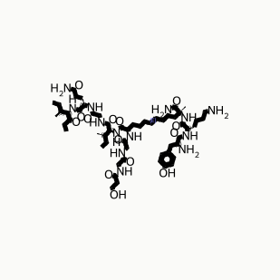 CCC(=O)[C@@H](NC(=O)[C@H](CCC(N)=O)NC(=O)CNC(=O)[C@@H](NC(=O)C(CCC/C=C/CCC[C@](C)(NC(=O)[C@H](CCCCN)NC(=O)[C@@H](N)Cc1ccc(O)cc1)C(N)=O)NC(=O)CNC(=O)CNC(=O)CCO)[C@@H](C)CC)[C@@H](C)CC